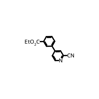 CCOC(=O)c1cccc(-c2ccnc(C#N)c2)c1